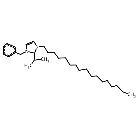 CCCCCCCCCCCCCCCCCN1C=CN(Cc2ccccc2)C1C(C)C